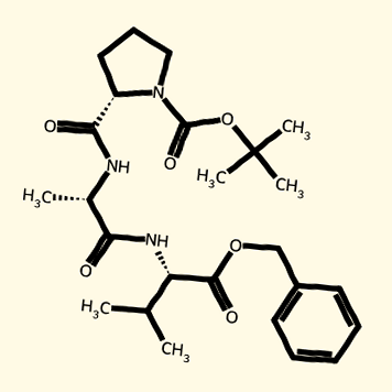 CC(C)[C@H](NC(=O)[C@H](C)NC(=O)[C@@H]1CCCN1C(=O)OC(C)(C)C)C(=O)OCc1ccccc1